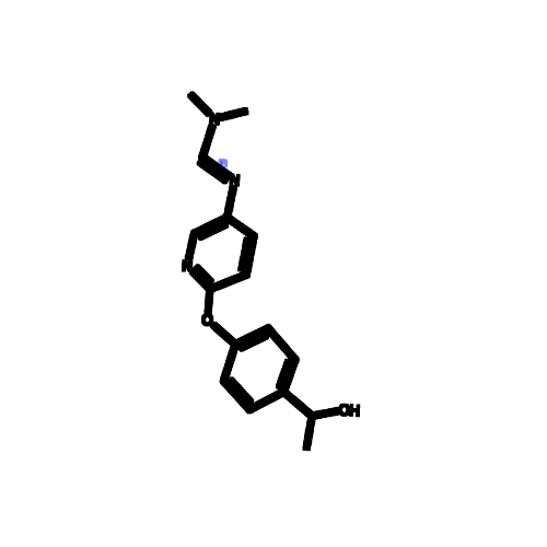 CC(O)c1ccc(Oc2ccc(/N=C/N(C)C)cn2)cc1